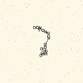 COc1ccc2nc(-c3ccc(N4CC(OC5CCN(CCCCCOc6ccc7c(c6)C(=O)C(C6CCC(=O)NC6=O)C7=O)CC5)C4)cc3)sc2c1